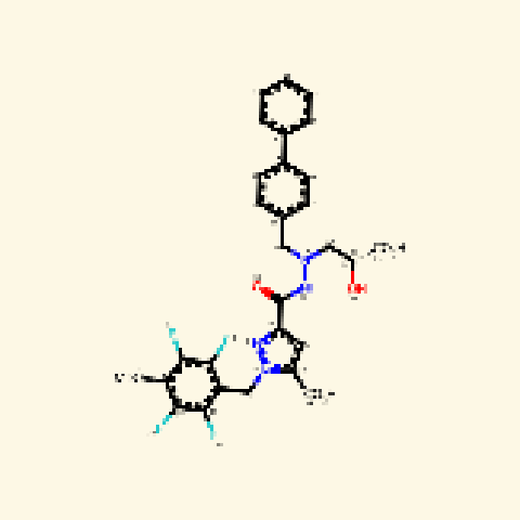 COc1c(F)c(F)c(Cn2nc(C(=O)NN(Cc3ccc(-c4ccccc4)cc3)C[C@@H](O)C(=O)O)cc2C(=O)O)c(F)c1F